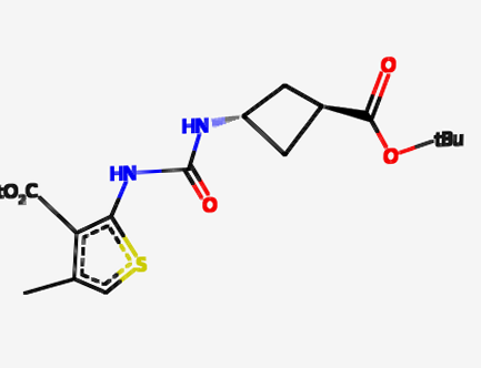 CCOC(=O)c1c(C)csc1NC(=O)N[C@H]1C[C@H](C(=O)OC(C)(C)C)C1